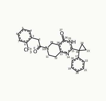 O=C(Cc1ccccc1C(F)(F)F)N1CCc2nc(C3(c4ccccc4)CC3)[nH]c(=O)c2C1